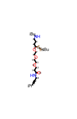 CCC(C)NCCCC(OCCOCCOCCC(=O)NCC#CC(C)C)SSC(C)(C)C